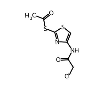 CC(=O)Sc1nc(NC(=O)CCl)cs1